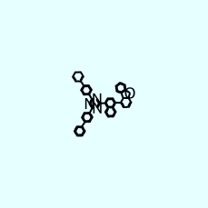 C1=CC2Oc3ccccc3C2C(c2ccc(-c3nc(-c4ccc(C5=CCCC=C5)cc4)nc(-c4ccc(-c5ccccc5)cc4)n3)c3ccccc23)=C1